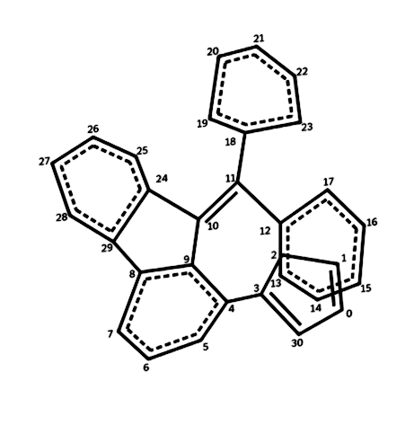 C1=CCC(c2cccc3c2C(=C(c2ccccc2)c2ccccc2)c2ccccc2-3)=C1